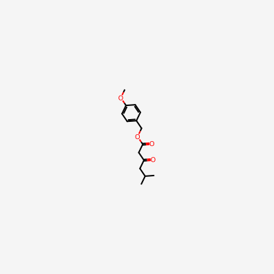 COc1ccc(COC(=O)CC(=O)CC(C)C)cc1